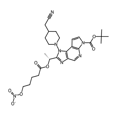 C[C@@H](OC(=O)CCCCO[N+](=O)[O-])c1nc2cnc3c(ccn3C(=O)OC(C)(C)C)c2n1N1CCC(CC#N)CC1